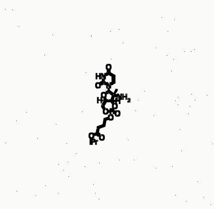 CC(C)OC(=O)CCCOP1(=O)OC[C@H]2O[C@@H](n3ccc(=O)[nH]c3=O)[C@](C)(N)[C@@H]2O1